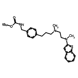 CN(CCCc1ccc(CNC(=O)OC(C)(C)C)cc1)CCN(C)c1cc2ccccc2s1